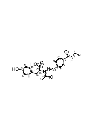 [CH2]CNC(=O)c1ccc(N=NN(C(C)=O)[C@@H](Cc2ccc(O)cc2)C(=O)O)cc1